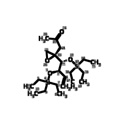 C=C[C@@H](O[Si](CC)(CC)CC)[C@@H](O[Si](CC)(CC)CC)[C@@]1(CC(C)=O)CO1